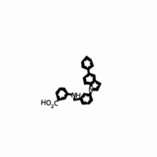 O=C(O)c1cccc(NCc2cccc(-n3ccc4cc(-c5ccccc5)ccc43)c2)c1